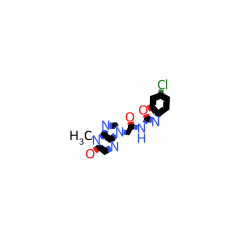 Cn1c(=O)cnc2c1ncn2CC(=O)Nc1nc2ccc(Cl)cc2o1